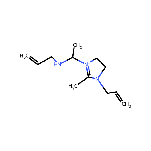 C=CCNC(C)[N+]1=C(C)N(CC=C)CC1